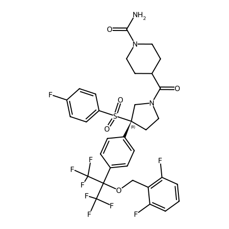 NC(=O)N1CCC(C(=O)N2CC[C@](c3ccc(C(OCc4c(F)cccc4F)(C(F)(F)F)C(F)(F)F)cc3)(S(=O)(=O)c3ccc(F)cc3)C2)CC1